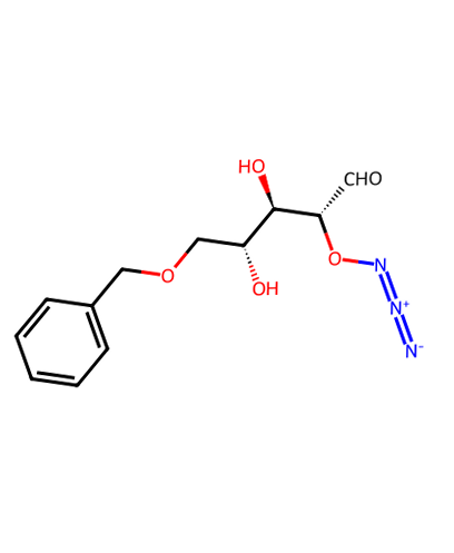 [N-]=[N+]=NO[C@@H](C=O)[C@H](O)[C@H](O)COCc1ccccc1